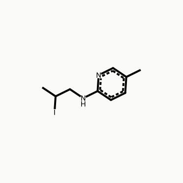 Cc1ccc(NCC(C)I)nc1